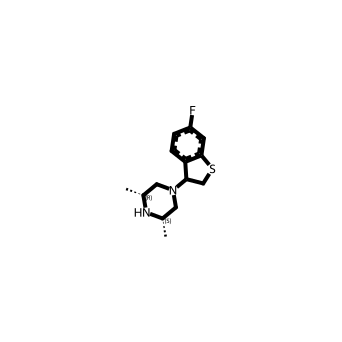 C[C@@H]1CN(C2CSc3cc(F)ccc32)C[C@H](C)N1